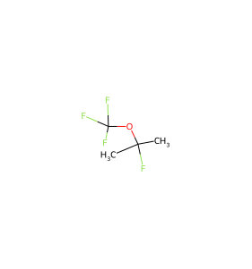 CC(C)(F)OC(F)(F)F